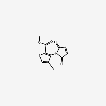 COC(=O)c1scc(C)c1N1C(=O)C=CC1=O